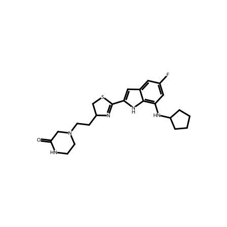 O=C1CN(CCC2CSC(c3cc4cc(F)cc(NC5CCCC5)c4[nH]3)=N2)CCN1